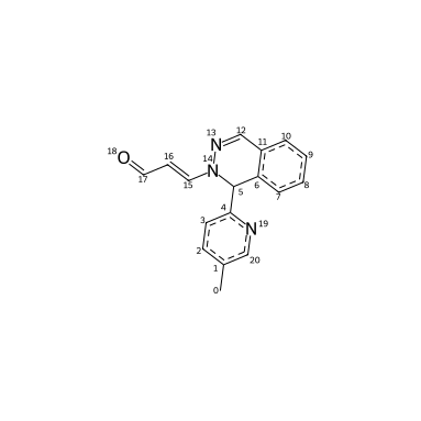 Cc1ccc(C2c3ccccc3C=NN2C=CC=O)nc1